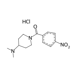 CN(C)C1CCN(C(=O)c2ccc([N+](=O)[O-])cc2)CC1.Cl